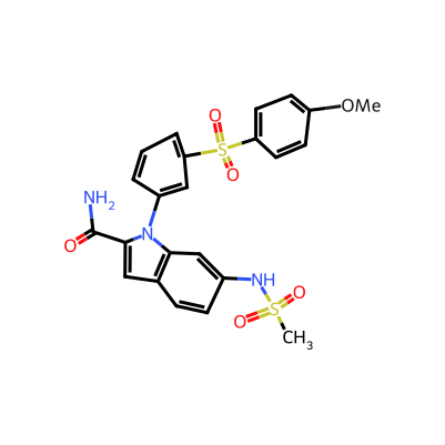 COc1ccc(S(=O)(=O)c2cccc(-n3c(C(N)=O)cc4ccc(NS(C)(=O)=O)cc43)c2)cc1